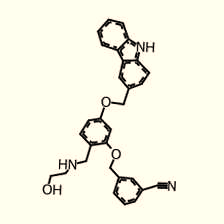 N#Cc1cccc(COc2cc(OCc3ccc4[nH]c5ccccc5c4c3)ccc2CNCCO)c1